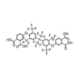 O=C(O)c1ccc(Oc2c(C(F)(F)F)cc(C(c3cc(C(F)(F)F)c(Oc4ccc(C(=O)O)c(C(=O)O)c4)c(C(F)(F)F)c3)(C(F)(F)F)C(F)(F)F)cc2C(F)(F)F)cc1C(=O)O